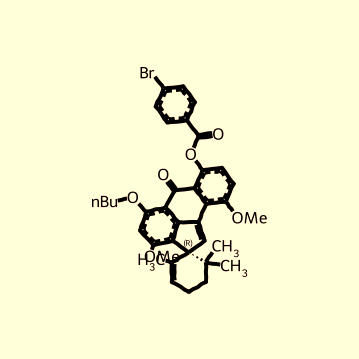 CCCCOc1cc(OC)c2c3c1C(=O)c1c(OC(=O)c4ccc(Br)cc4)ccc(OC)c1C3=C[C@@]21C(C)=CCCC1(C)C